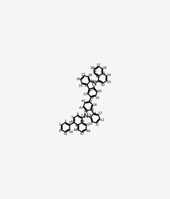 c1ccc(-c2ccc(-n3c4ccccc4c4cc(-c5ccc6c(c5)c5ccccc5n6-c5cccc6ccccc56)ccc43)c3ccccc23)cc1